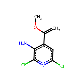 C=C(OC)c1cc(Cl)nc(Cl)c1N